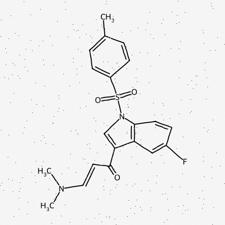 Cc1ccc(S(=O)(=O)n2cc(C(=O)/C=C/N(C)C)c3cc(F)ccc32)cc1